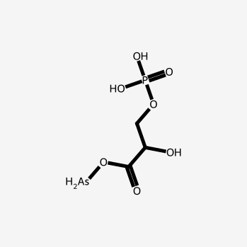 O=C(O[AsH2])C(O)COP(=O)(O)O